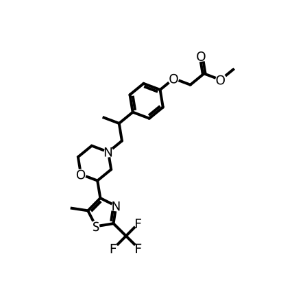 COC(=O)COc1ccc(C(C)CN2CCOC(c3nc(C(F)(F)F)sc3C)C2)cc1